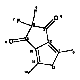 CC1=C2C(=O)C(F)(F)C(=O)C2=C(C)C1